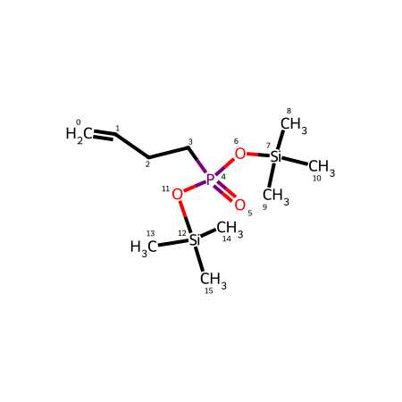 C=CCCP(=O)(O[Si](C)(C)C)O[Si](C)(C)C